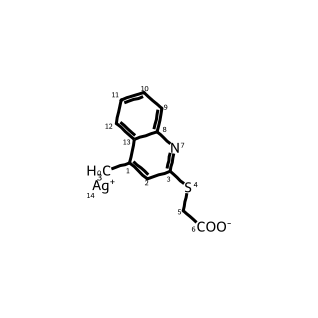 Cc1cc(SCC(=O)[O-])nc2ccccc12.[Ag+]